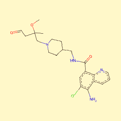 COC(C)(CC=O)CN1CCC(CNC(=O)c2cc(Cl)c(N)c3cccnc23)CC1